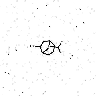 CC1CC2CCCC1CN2C(C)C